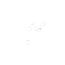 Cc1occc1-c1nc(N)c(OC[C@H](Cc2ccccc2)NC(=O)OCC(C)C)cc1-c1cnc2c(n1)c(C)nn2S(=O)(=O)c1ccccc1